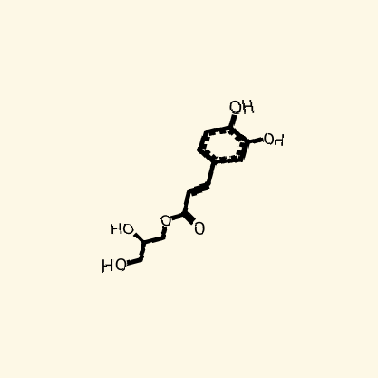 O=C(C=Cc1ccc(O)c(O)c1)OCC(O)CO